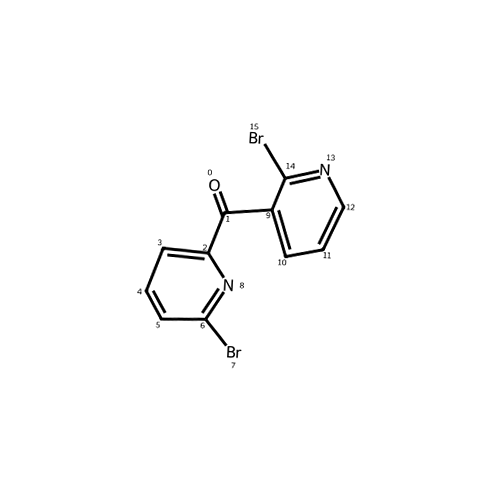 O=C(c1cccc(Br)n1)c1cccnc1Br